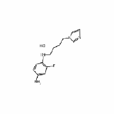 Cl.Nc1ccc(NCCCCn2ccnc2)c(F)c1